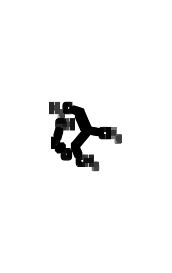 CC=C(C)CC.O=PO